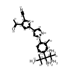 BC(c1ccc(-n2cc(-c3cc(C(C)=O)c(C#N)s3)cn2)c(C)c1)(C(C)(C)P)C(C)(P)P